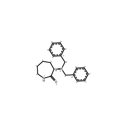 O=C1NCCCC[C@H]1N(Cc1ccccc1)Cc1ccccc1